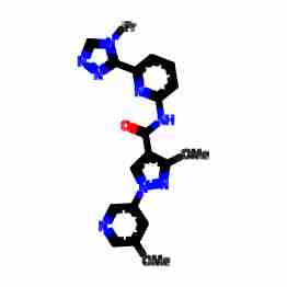 COc1cncc(-n2cc(C(=O)Nc3cccc(-c4nncn4C(C)C)n3)c(OC)n2)c1